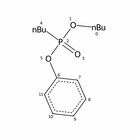 CCCCOP(=O)(CCCC)Oc1ccccc1